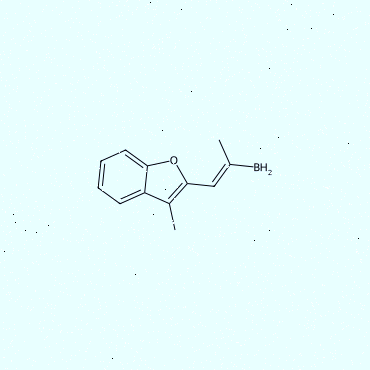 B/C(C)=C/c1oc2ccccc2c1C